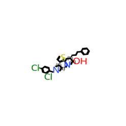 O[C@H]1CN(C[C@@H]2CN(Cc3ccc(Cl)cc3Cl)C[C@@H]2c2ccsc2)CC[C@H]1CCCc1ccccc1